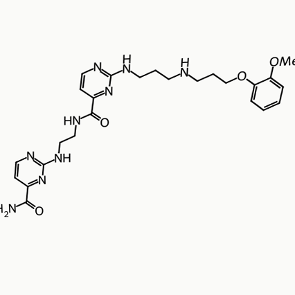 COc1ccccc1OCCCNCCCNc1nccc(C(=O)NCCNc2nccc(C(N)=O)n2)n1